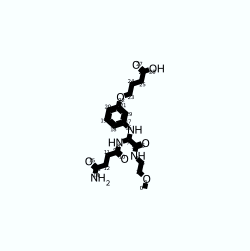 COCCNC(=O)C(NC(=O)CCC(N)=O)Nc1cccc(OCCCC(=O)O)c1